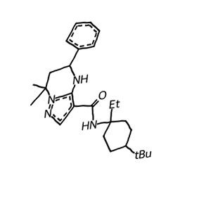 CCC1(NC(=O)c2cnn3c2NC(c2ccccc2)CC3(C)C)CCC(C(C)(C)C)CC1